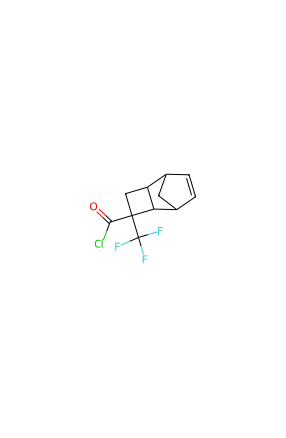 O=C(Cl)C1(C(F)(F)F)CC2C3C=CC(C3)C21